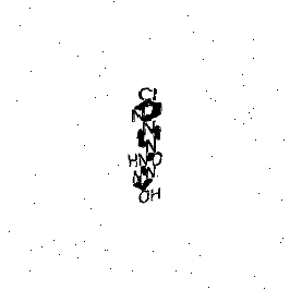 O=C(Nc1ncc(O)cn1)N1CCN(c2ccc(Cl)cn2)CC1